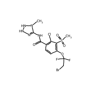 CN1NNN=C1NC(=O)c1ccc(OC(F)(F)CBr)c(S(C)(=O)=O)c1Cl